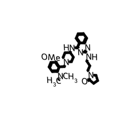 COc1cccc(N(C)C)c1CN1CCC(Nc2nc(NCCCN3CCCC3=O)nc3ccccc23)CC1